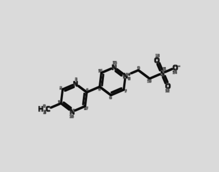 Cc1cnc(-c2cc[n+](CCS(=O)(=O)[O-])nc2)cn1